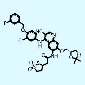 CC1(C)OC[C@@H](COc2cc3ncc(C#N)c(Nc4ccc(OCc5cccc(F)c5)c(Cl)c4)c3cc2NC(=O)CC2CCS(=O)(=O)S2)O1